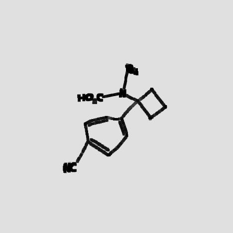 CC(C)(C)N(C(=O)O)C1(c2ccc(C#N)cc2)CCC1